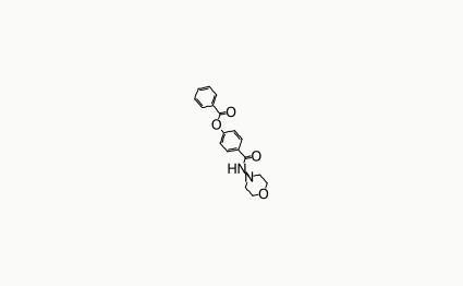 O=C(NN1CCOCC1)c1ccc(OC(=O)c2ccccc2)cc1